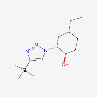 CCC1CC[C@@H](O)[C@H](n2cc([Si](C)(C)C)nn2)C1